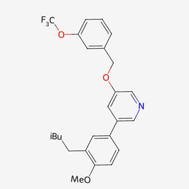 CCC(C)Cc1cc(-c2cncc(OCc3cccc(OC(F)(F)F)c3)c2)ccc1OC